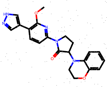 COc1nc(N2CCC(N3CCOc4ccccc43)C2=O)ccc1-c1cn[nH]c1